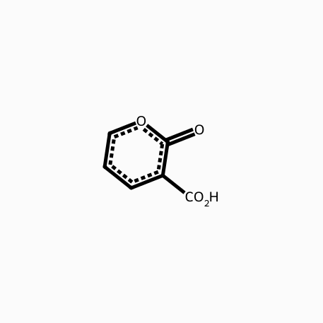 O=C(O)c1cccoc1=O